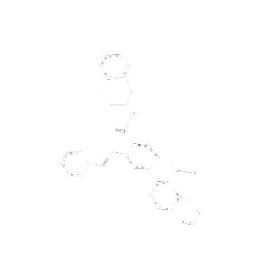 NC(=O)c1c(-c2ccc(C(=O)NC(CO)Cc3ccccc3)c(C=Cc3ccccc3)c2)ccc2ccccc12